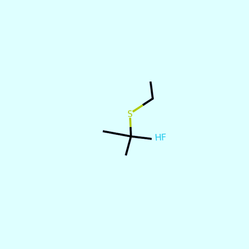 CCSC(C)(C)C.F